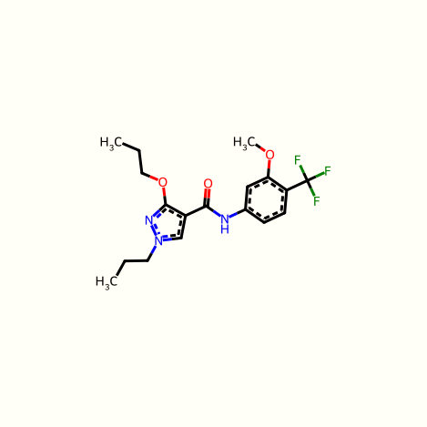 CCCOc1nn(CCC)cc1C(=O)Nc1ccc(C(F)(F)F)c(OC)c1